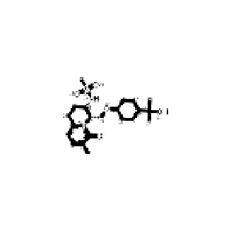 Cc1ccc2n(c1=O)[C@@H](COC1CCC(C(C)(C)O)CC1)[C@@H](NS(C)(=O)=O)CC2